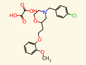 COc1ccccc1OCCC1CN(Cc2ccc(Cl)cc2)CCO1.O=C(O)C(=O)O